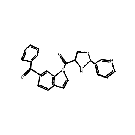 O=C(c1ccccc1)c1ccc2ccn(C(=O)C3CSC(c4cccnc4)N3)c2c1